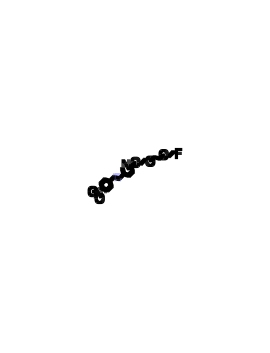 O=[N+]([O-])c1ccc(/C=C/c2ccc(OCCOCCOCCF)nc2)cc1